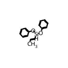 CC=C[SiH](Oc1ccccc1)Oc1ccccc1